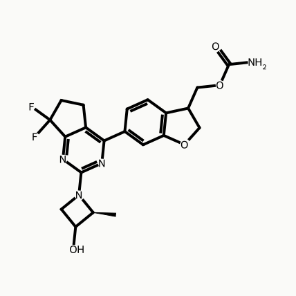 C[C@H]1C(O)CN1c1nc(-c2ccc3c(c2)OCC3COC(N)=O)c2c(n1)C(F)(F)CC2